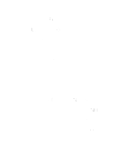 CCOC(COc1ccc(N2CCC(=O)NC2=O)c(Cl)c1)OCC